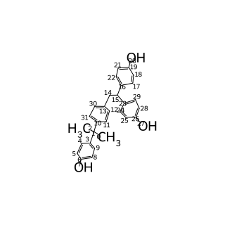 CC(C)(c1ccc(O)cc1)c1ccc(CC(c2ccc(O)cc2)c2ccc(O)cc2)cc1